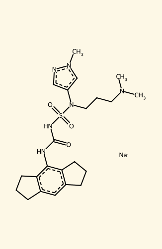 CN(C)CCCN(c1cnn(C)c1)S(=O)(=O)NC(=O)Nc1c2c(cc3c1CCC3)CCC2.[Na]